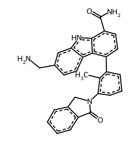 Cc1c(-c2ccc(C(N)=O)c3[nH]c4cc(CN)ccc4c23)cccc1N1Cc2ccccc2C1=O